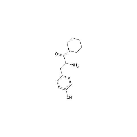 N#Cc1ccc(CC(N)C(=O)N2CCCCC2)cc1